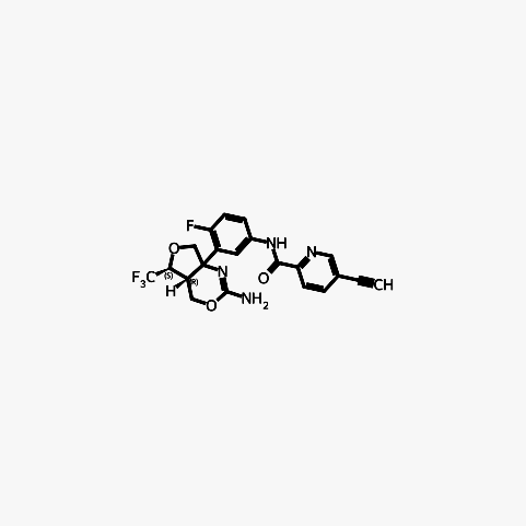 C#Cc1ccc(C(=O)Nc2ccc(F)c(C34CO[C@H](C(F)(F)F)[C@H]3COC(N)=N4)c2)nc1